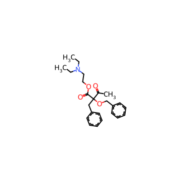 CCN(CC)CCOC(=O)C(Cc1ccccc1)(OCc1ccccc1)C(C)=O